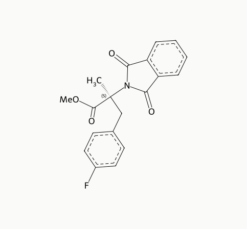 COC(=O)[C@](C)(Cc1ccc(F)cc1)N1C(=O)c2ccccc2C1=O